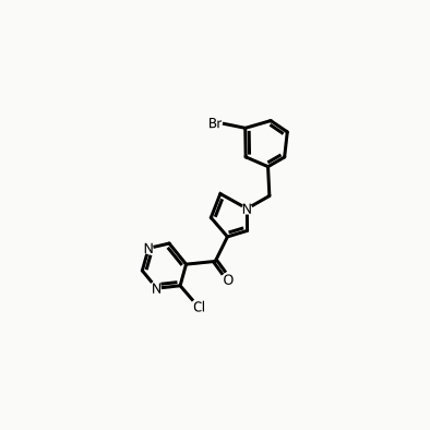 O=C(c1ccn(Cc2cccc(Br)c2)c1)c1cncnc1Cl